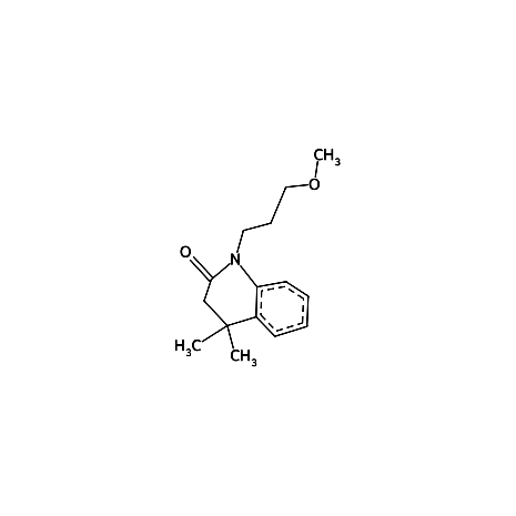 COCCCN1C(=O)CC(C)(C)c2ccccc21